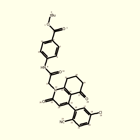 CC(C)(C)OC(=O)c1ccc(NC(=O)Cn2c3c(c(-c4cc(Cl)ccc4C#N)cc2=O)C(=O)CCC3)cc1